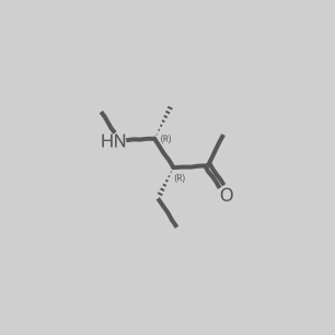 CC[C@@H](C(C)=O)[C@@H](C)NC